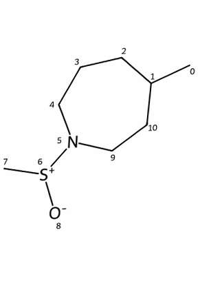 CC1CCCN([S+](C)[O-])CC1